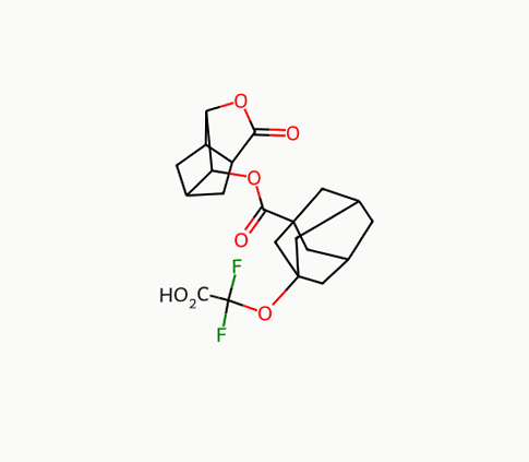 O=C1OC2C3CC(CC13)C2OC(=O)C12CC3CC(CC(OC(F)(F)C(=O)O)(C3)C1)C2